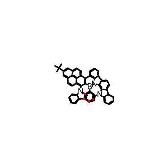 CC(C)(C)c1cc2ccc3c4c5c(c6ccc(c1)c2c36)-n1c2ccccc2c2cccc(c21)B5n1c2c-4cccc2c2ccc3c4ccccc4n(-c4ccccc4)c3c21